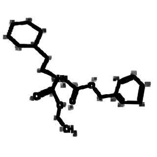 CCOC(=O)[C@@H](CCC1CCCCC1)NC(=O)OCc1ccccc1